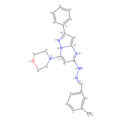 Cc1cccc(/C=N/Nc2cc(N3CCOCC3)n3nc(-c4ccccc4)cc3n2)c1